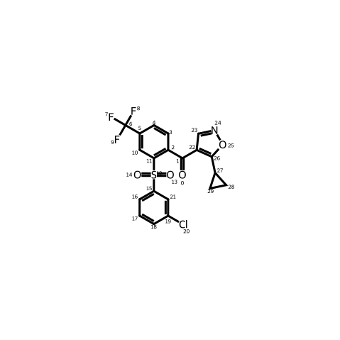 O=C(c1ccc(C(F)(F)F)cc1S(=O)(=O)c1cccc(Cl)c1)c1cnoc1C1CC1